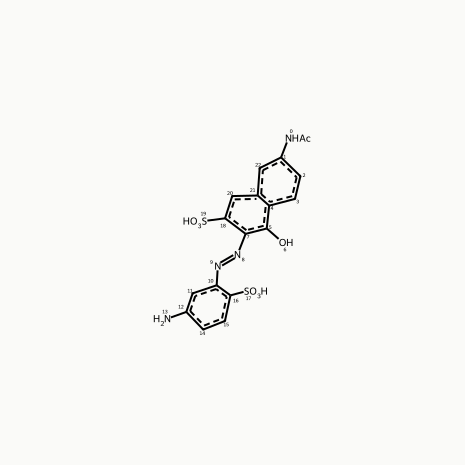 CC(=O)Nc1ccc2c(O)c(N=Nc3cc(N)ccc3S(=O)(=O)O)c(S(=O)(=O)O)cc2c1